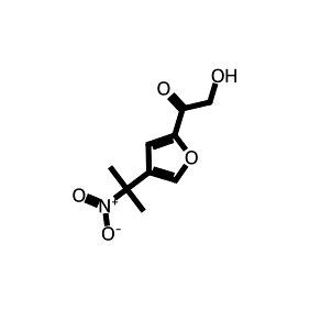 CC(C)(c1coc(C(=O)CO)c1)[N+](=O)[O-]